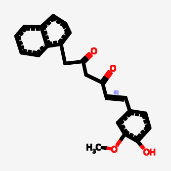 COc1cc(/C=C/C(=O)CC(=O)Cc2cccc3ccccc23)ccc1O